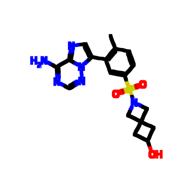 Cc1ccc(S(=O)(=O)N2CC3(CC(O)C3)C2)cc1-c1cnc2c(N)ncnn12